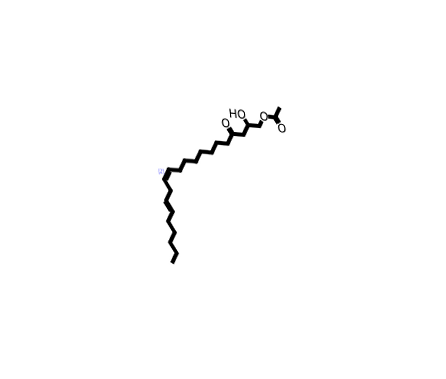 CCCCCC=CC/C=C\CCCCCCCC(=O)CC(O)COC(C)=O